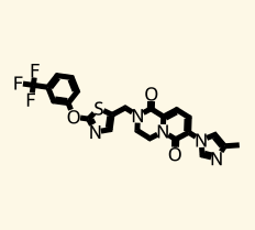 Cc1cn(-c2ccc3n(c2=O)CCN(Cc2cnc(Oc4cccc(C(F)(F)F)c4)s2)C3=O)cn1